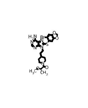 CO[C@@H](C)C(=O)N1CCC(CCn2c(Sc3cc4c(cc3Br)OCO4)nc3c(N)ncnc32)CC1